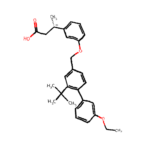 CCOc1cccc(-c2ccc(COc3cccc([C@@H](C)CC(=O)O)c3)cc2C(C)(C)C)c1